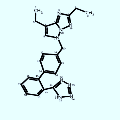 CCc1nc2c(CC)cn(Cc3ccc(-c4ccccc4-c4nnn[nH]4)cc3)n2n1